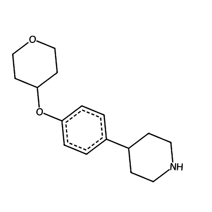 c1cc(C2CCNCC2)ccc1OC1CCOCC1